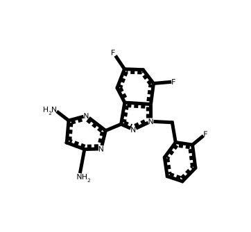 Nc1[c]c(N)nc(-c2nn(Cc3ccccc3F)c3c(F)cc(F)cc23)n1